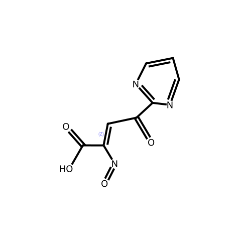 O=N/C(=C\C(=O)c1ncccn1)C(=O)O